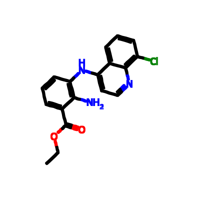 CCOC(=O)c1cccc(Nc2ccnc3c(Cl)cccc23)c1N